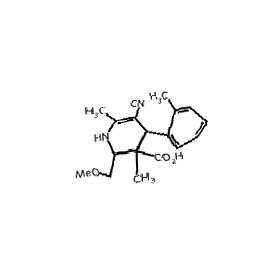 COCC1NC(C)=C(C#N)C(c2ccccc2C)C1(C)C(=O)O